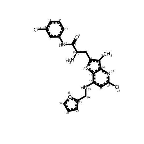 Cc1c(C[C@@H](N)C(=O)Nc2cccc(Cl)c2)sc2c(NCc3ccco3)cc(Cl)nc12